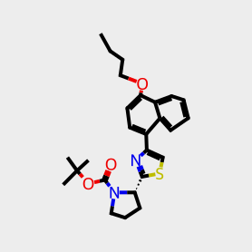 CCCCOc1ccc(-c2csc([C@@H]3CCCN3C(=O)OC(C)(C)C)n2)c2ccccc12